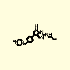 CCCCNc1ncc2c(-c3ccc(CN4CCN(C)CC4)cc3)c[nH]c2n1